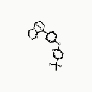 CC(F)(F)c1ccc(Oc2ccc(C34CCC(CC3)N3CCSN=C34)cc2)cc1